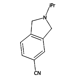 CC(C)N1Cc2ccc(C#N)cc2C1